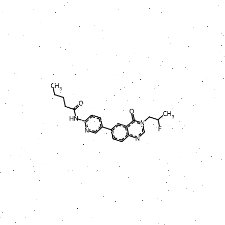 CCCCC(=O)Nc1ccc(-c2ccc3ncn(CC(C)F)c(=O)c3c2)cn1